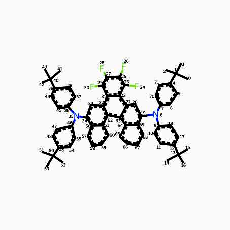 CC(C)(C)c1ccc(N(c2ccc(C(C)(C)C)cc2)c2cc3c4c(F)c(F)c(F)c(F)c4c4cc(N(c5ccc(C(C)(C)C)cc5)c5ccc(C(C)(C)C)cc5)c5ccccc5c4c3c3ccccc23)cc1